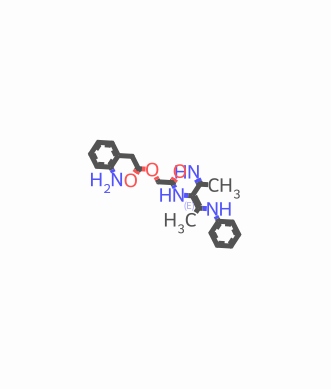 CC(=N)/C(NC(=O)COC(=O)Cc1ccccc1N)=C(/C)Nc1ccccc1